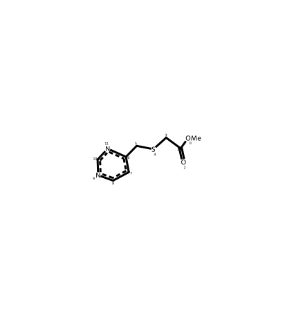 COC(=O)CSCc1ccncn1